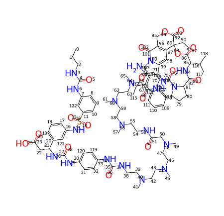 CCCNC(=O)Nc1cccc(S(=O)(=O)Nc2cccc(C(CC(=O)O)NC(=O)Nc3ccc(NC(=O)NCCN(C)CCN(C)CCN(C)CC(=O)NCCN(C)CCN(C)CCN(C)CC(=O)NC(CC(N)=O)C(=O)N4CCCC4C(=O)NC(C(=O)OC4(CC)C(=O)OCc5c4cc4n(c5=O)Cc5c-4nc4ccccc4c5CC)C(C)C)cc3)c2)c1